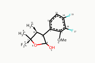 COc1c(C2C(O)O[C@@](C)(C(F)(F)F)[C@H]2C)ccc(F)c1F